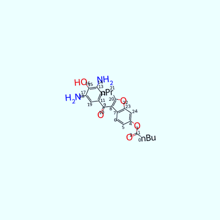 CCCCC(=O)Oc1ccc2c(C(=O)c3cc(N)c(O)c(N)c3)c(CCC)oc2c1